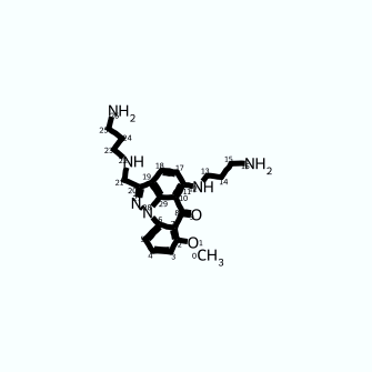 COc1cccc2c1c(=O)c1c(NCCCN)ccc3c(CNCCCN)nn2c31